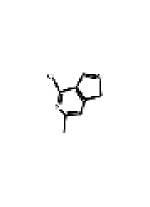 Cc1cc2c(c(Cl)n1)C=NC2